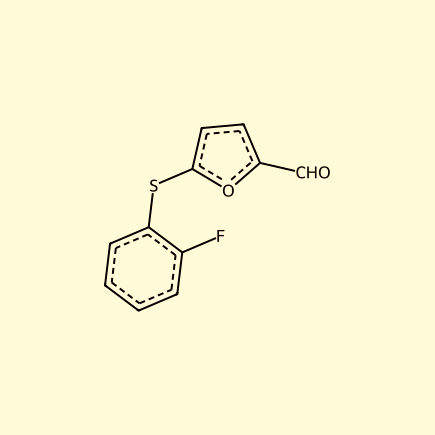 O=Cc1ccc(Sc2ccccc2F)o1